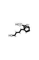 O=C(O)C1OC2C=CC1(CCCCO)C2